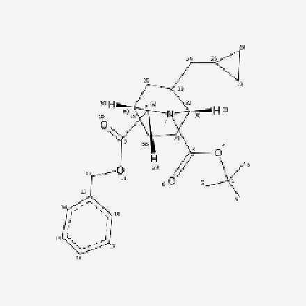 CC(C)(C)OC(=O)N1[C@H](C(=O)OCc2ccccc2)[C@@H]2CC[C@H]1C(CC1CC1)C2